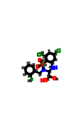 O=C(O)C1Nc2cc(Cl)cc(Cl)c2S(=O)(=O)N1Cc1ccccc1F